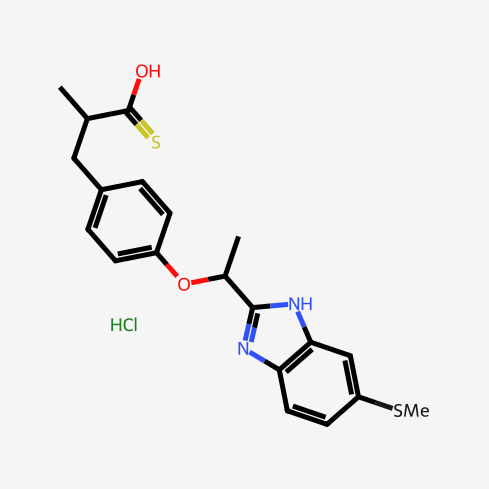 CSc1ccc2nc(C(C)Oc3ccc(CC(C)C(O)=S)cc3)[nH]c2c1.Cl